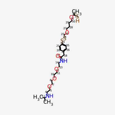 CC(C)NCCOCCOCCOCCNC(=O)Cc1ccc(SSCOCCCCOC(C)S)cc1